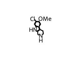 COc1cc2c3c([nH]c2cc1Cl)CNCC3